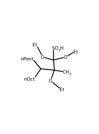 CCCCCCCCC(CCCCC)C(C)(OCC)C(OCC)(OCC)S(=O)(=O)O